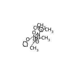 CCCSP(=O)(OCC)N(CCOc1ccccc1)C(=Nc1cc(C)cc(C)c1)OCC